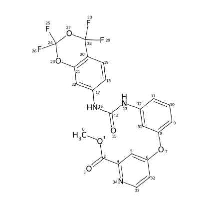 COC(=O)c1cc(Oc2cccc(NC(=O)Nc3ccc4c(c3)OC(F)(F)OC4(F)F)c2)ccn1